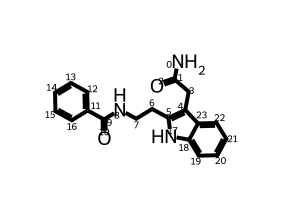 NC(=O)Cc1c(CCNC(=O)c2ccccc2)[nH]c2ccccc12